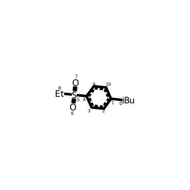 CCC(C)c1ccc(S(=O)(=O)CC)cc1